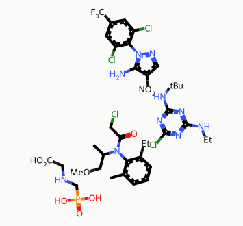 CCNc1nc(Cl)nc(NC(C)(C)C)n1.CCc1cccc(C)c1N(C(=O)CCl)C(C)COC.Nc1c([N+](=O)[O-])cnn1-c1c(Cl)cc(C(F)(F)F)cc1Cl.O=C(O)CNCP(=O)(O)O